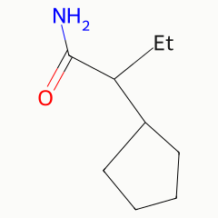 CCC(C(N)=O)C1CCCC1